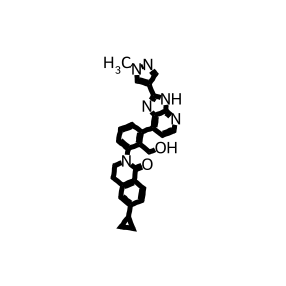 Cn1cc(-c2nc3c(-c4cccc(N5CCc6cc(C7CC7)ccc6C5=O)c4CO)ccnc3[nH]2)cn1